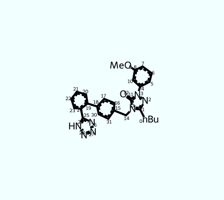 CCCCc1nn(-c2cccc(OC)c2)c(=O)n1Cc1ccc(-c2ccccc2-c2nnn[nH]2)cc1